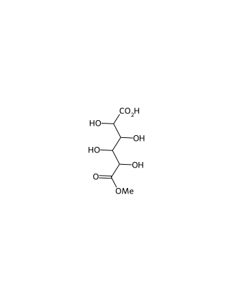 COC(=O)C(O)C(O)C(O)C(O)C(=O)O